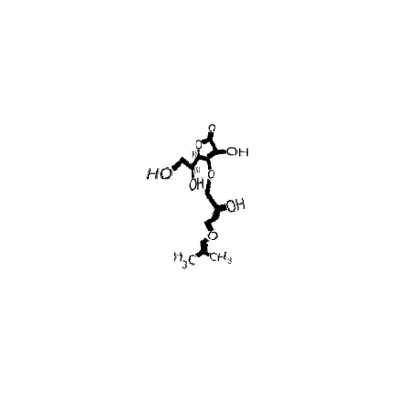 CC(C)=COCC(O)COC1=C(O)C(=O)O[C@@H]1[C@@H](O)CO